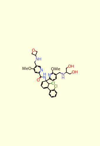 COc1cc(C(=O)NC2(c3ccc(CNC(CO)CO)c(OC)n3)C=CC=C(c3ccccc3Cl)C2Cl)ncc1CNC1COC1